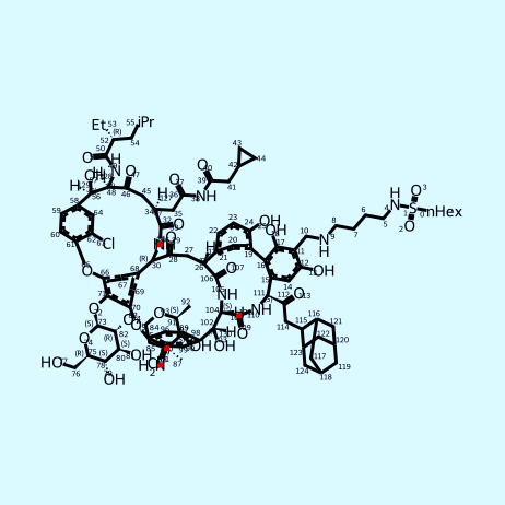 CCCCCCS(=O)(=O)NCCCCNCc1c(O)cc2c(c1O)-c1cc(ccc1O)[C@H]1CC(=O)[C@@H]3NC(=O)[C@H](CC(=O)NC(=O)CC4CC4)CC(=O)[C@H](NC(=O)[C@H](CC)CC(C)C)[C@H](O)c4ccc(c(Cl)c4)Oc4cc3cc(c4O[C@@H]3O[C@H](CO)[C@@H](O)[C@H](O)[C@H]3O[C@H]3C[C@](C)(N)[C@H](O)[C@H](C)O3)Oc3ccc(cc3Cl)[C@@H](O)[C@H](NC1=O)C(=O)N[C@@H]2C(=O)CC1C2CC3CC(C2)CC1C3